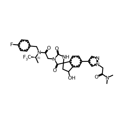 C[C@H](N(Cc1ccc(F)cc1)C(=O)CN1C(=O)NC2(CC(O)c3cc(-c4cnn(CC(=O)N(C)C)c4)ccc32)C1=O)C(F)(F)F